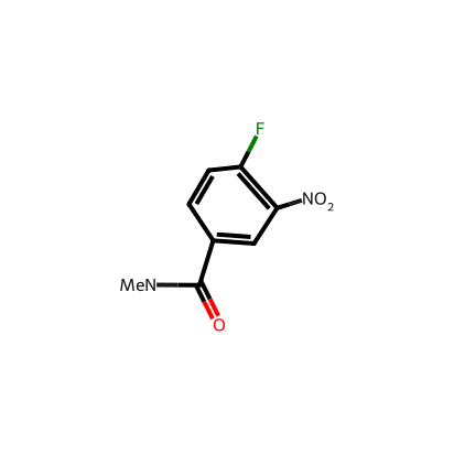 CNC(=O)c1ccc(F)c([N+](=O)[O-])c1